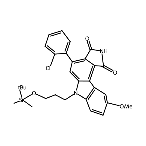 COc1ccc2c(c1)c1c3c(c(-c4ccccc4Cl)cc1n2CCCO[Si](C)(C)C(C)(C)C)C(=O)NC3=O